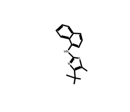 Cc1sc(Nc2cccc3ccccc23)nc1C(C)(C)C